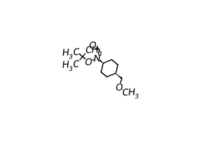 COC[C@H]1CC[C@@H](N(C=O)OC(C)(C)C)CC1